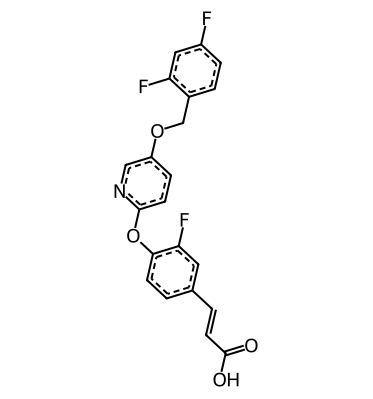 O=C(O)C=Cc1ccc(Oc2ccc(OCc3ccc(F)cc3F)cn2)c(F)c1